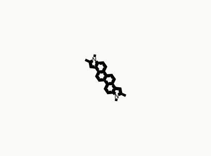 Cc1cc2c3ccc4c(ccc5c4ccc4c5cc(C)n4C)c3ccc2n1C